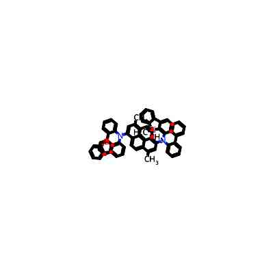 Cc1cc(N(c2ccccc2-c2ccccc2)c2cccc3c2[Si](C)(C)c2ccccc2-3)c2ccc3c(C)cc(N(c4ccccc4-c4ccccc4)c4cccc5c4oc4ccccc45)c4ccc1c2c34